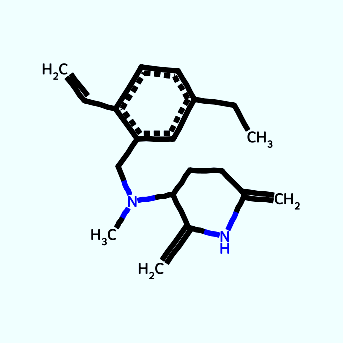 C=Cc1ccc(CC)cc1CN(C)C1CCC(=C)NC1=C